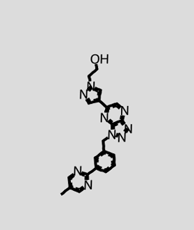 Cc1cnc(-c2cccc(Cn3nnc4ncc(-c5cnn(CCO)c5)nc43)c2)nc1